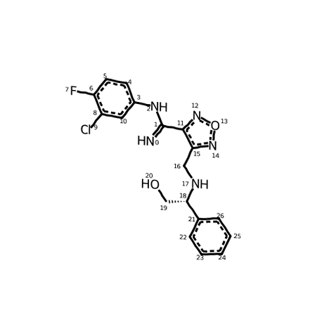 N=C(Nc1ccc(F)c(Cl)c1)c1nonc1CN[C@@H](CO)c1ccccc1